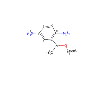 CCCCCOC(C)c1cc(N)ccc1N